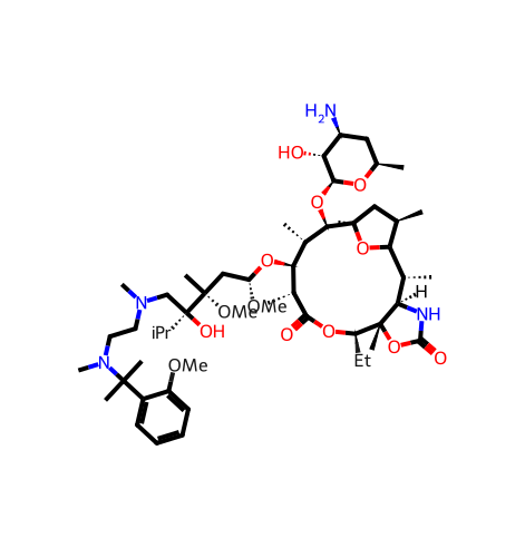 CC[C@H]1OC(=O)[C@H](C)[C@@H](O[C@@H](C[C@@](C)(OC)[C@@](O)(CN(C)CCN(C)C(C)(C)c2ccccc2OC)C(C)C)OC)[C@H](C)[C@@H](O[C@@H]2O[C@H](C)C[C@H](N)[C@H]2O)[C@@]2(C)C[C@@H](C)C(O2)[C@H](C)[C@H]2NC(=O)O[C@@]21C